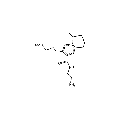 COCCOc1cc2c(cc1C(=O)NCCN)CCCC2C